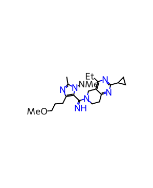 CCc1nc(C2CC2)nc2c1CN(C(=N)c1c(CCCOC)nc(C)n1NC)CC2